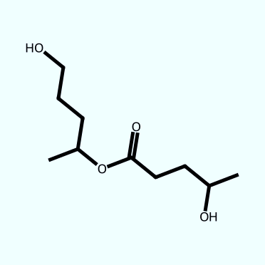 CC(O)CCC(=O)OC(C)CCCO